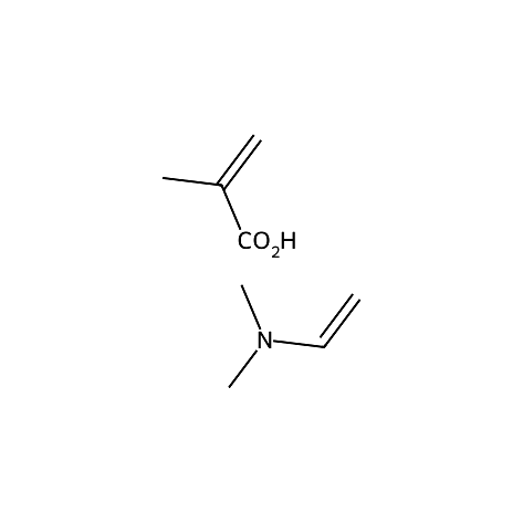 C=C(C)C(=O)O.C=CN(C)C